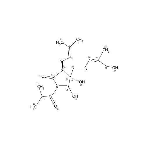 CC(C)=CC[C@@H]1C(=O)C(C(=O)C(C)C)=C(O)[C@]1(O)CCC=C(C)CO